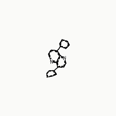 c1ccc(-c2ccnc3c(-c4ccccc4)ccnc23)cc1